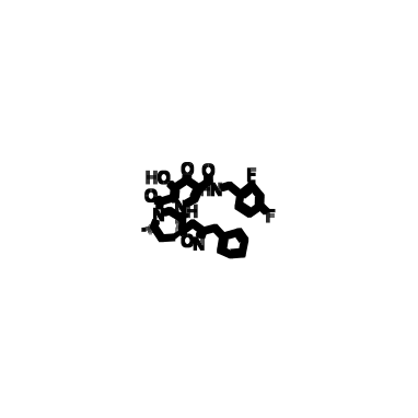 C[C@H]1CC[C@]2(CC(Cc3ccccc3)=NO2)[C@H]2CN1C(=O)c1c(O)c(=O)c(C(=O)NCc3ccc(F)cc3F)cn12